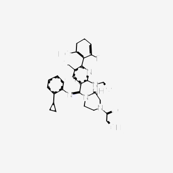 C=CC(=O)N1CCN(/C(=N/c2c(C)cccc2C2CC2)c2cc(Cl)c(C3=C(O)CCC=C3F)nc2NC=O)C(C)C1